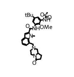 COc1c(NC(=O)c2cc3cccc(CN4CCN5C(=O)CCC5C4)c3n2C)cc(C(C)(C)C)cc1NS(C)(=O)=O